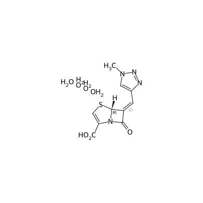 Cn1cc(/C=C2/C(=O)N3C(C(=O)O)=CS[C@H]23)nn1.O.O.O.O